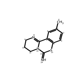 Cc1ccc2c(c1)C1=NCCCN1C(=N)S2